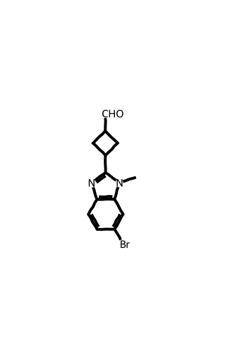 Cn1c(C2CC(C=O)C2)nc2ccc(Br)cc21